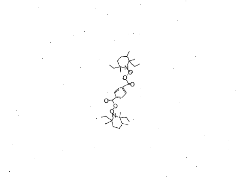 CCC1(C)CCC(C)C(C)(CC)N1OOC(=O)c1ccc(C(=O)OON2C(C)(CC)CCC(C)C2(C)CC)cc1